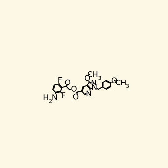 COc1ccc(Cn2nc(OC)c3cc(C(=O)OCC(=O)c4c(F)ccc(N)c4F)cnc32)cc1